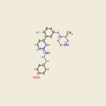 CC1CNCCN1Cc1ccc(F)c(-c2ccnc(NCCc3ccc(O)cc3)n2)c1